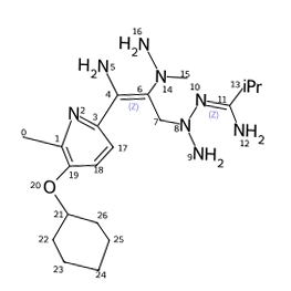 Cc1nc(/C(N)=C(\CN(N)/N=C(\N)C(C)C)N(C)N)ccc1OC1CCCCC1